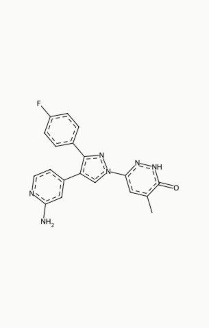 Cc1cc(-n2cc(-c3ccnc(N)c3)c(-c3ccc(F)cc3)n2)n[nH]c1=O